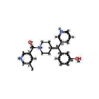 Cc1cncc(C(=O)N2CCC(=C(c3cccnc3)c3cccc(O)c3)CC2)c1